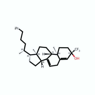 CC(C)CCC[C@@H](C)[C@H]1CC[C@H]2C3=CCC4=C[C@](O)(C(F)(F)F)CC[C@]4(C)[C@H]3CC[C@]12C